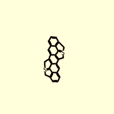 c1cc2c3c4c5c(c6cc7cccc8c7c7c6c(c5cc3c1)CS=7C8)CS=4C2